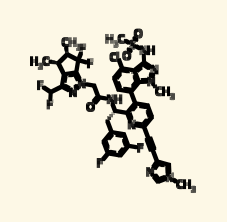 C[C@@H]1c2c(C(F)F)nn(CC(=O)N[C@@H](Cc3cc(F)cc(F)c3)c3nc(C#Cc4cn(C)cn4)ccc3-c3ccc(Cl)c4c(NS(C)(=O)=O)nn(C)c34)c2C(F)(F)[C@@H]1C